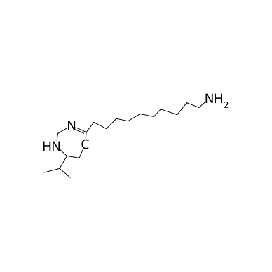 CC(C)C1CCC(CCCCCCCCCCN)=NCN1